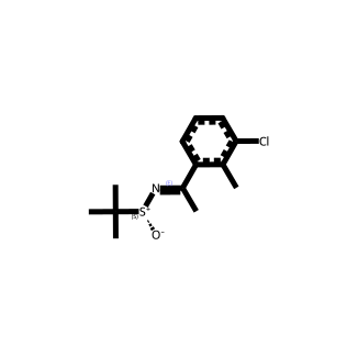 C/C(=N\[S@+]([O-])C(C)(C)C)c1cccc(Cl)c1C